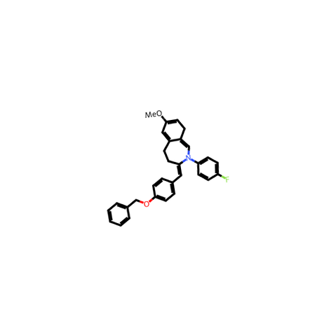 COC1=CCC2=CN(c3ccc(F)cc3)C(=Cc3ccc(OCc4ccccc4)cc3)CCC2=C1